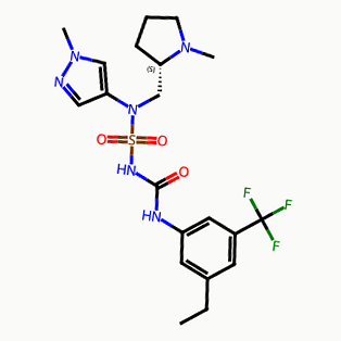 CCc1cc(NC(=O)NS(=O)(=O)N(C[C@@H]2CCCN2C)c2cnn(C)c2)cc(C(F)(F)F)c1